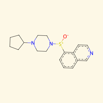 [O-][S+](c1cccc2cnccc12)N1CCN(C2CCCC2)CC1